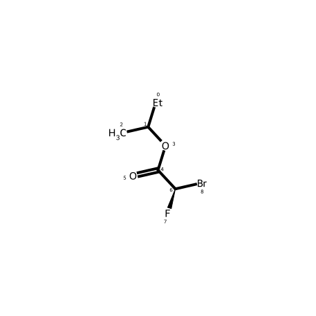 CCC(C)OC(=O)[C@H](F)Br